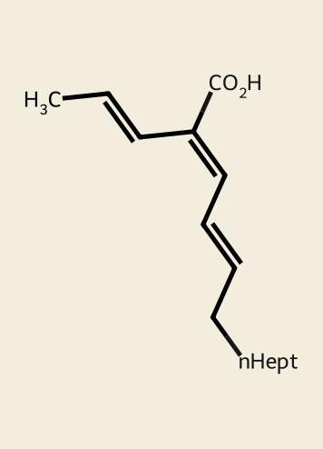 CC=CC(=CC=CCCCCCCCC)C(=O)O